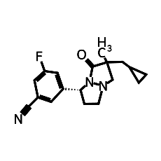 CC1(CC2CC2)CN2CC[C@H](c3cc(F)cc(C#N)c3)N2C1=O